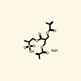 C=C(C)C(=O)OCC(COC(=O)C(=C)C)C(=O)OCC(C)S(=O)(=O)O.[NaH]